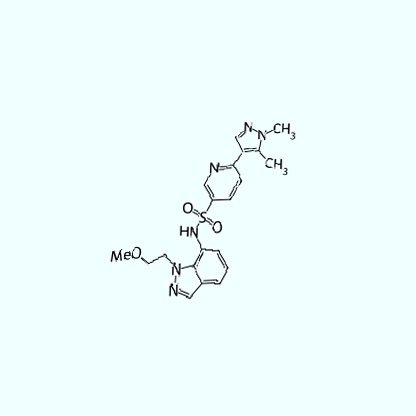 COCCn1ncc2cccc(NS(=O)(=O)c3ccc(-c4cnn(C)c4C)nc3)c21